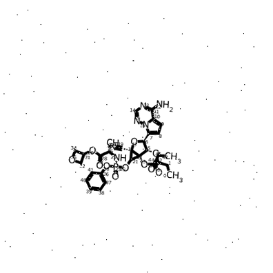 CCC(=O)O[C@H]1[C@H](c2ccc3c(N)ncnn23)O[C@]2(C#N)C(O[P@@](=O)(N[C@@H](C)C(=O)OC3COC3)Oc3ccccc3)[C@]12OC(=O)CC